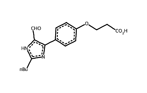 CCCCc1nc(-c2ccc(OCCC(=O)O)cc2)c(C=O)[nH]1